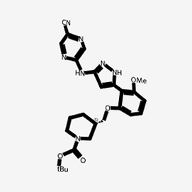 COc1cccc(OC[C@H]2CCCN(C(=O)OC(C)(C)C)C2)c1-c1cc(Nc2cnc(C#N)cn2)n[nH]1